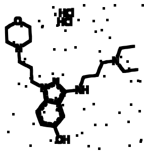 CCN(CC)CCCNc1nn(CCCN2CCOCC2)c2ccc(O)cc12.Cl.Cl